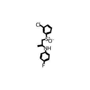 C=C(C[S+]([O-])c1cccc(Cl)c1)Nc1ccc(F)cc1